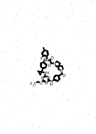 Cc1ccc(NC(=O)C(=O)N2CCC3(CCN(C(=O)c4ccc(Nc5nc(NC6(c7ccc(Cl)cc7)CC6)nc(OCC(F)(F)F)n5)cc4)C3)C2)c(F)c1